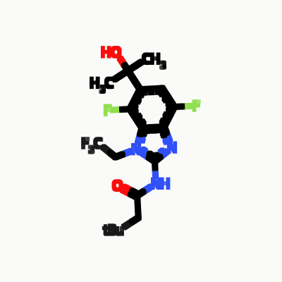 CC(C)(C)CC(=O)Nc1nc2c(F)cc(C(C)(C)O)c(F)c2n1CC(F)(F)F